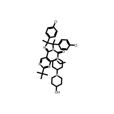 CCOc1nc(C(C)(C)C)ncc1C1=NC(C)(c2ccc(Cl)cc2)C(C)(c2ccc(Cl)cc2)N1C(=O)N1CCC(N2CCC(O)CC2)CC1